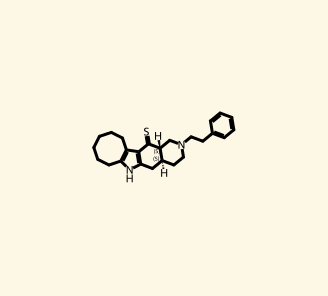 S=C1c2c([nH]c3c2CCCCCC3)C[C@@H]2CCN(CCc3ccccc3)C[C@@H]12